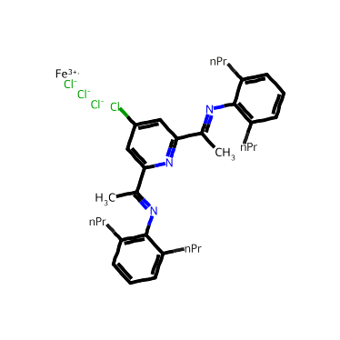 CCCc1cccc(CCC)c1N=C(C)c1cc(Cl)cc(C(C)=Nc2c(CCC)cccc2CCC)n1.[Cl-].[Cl-].[Cl-].[Fe+3]